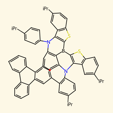 CC(C)c1ccc(N2c3cccc4c3B(c3sc5ccc(C(C)C)cc5c32)c2sc3ccc(C(C)C)cc3c2N4c2ccc(C(C)C)cc2-c2ccc3c4ccccc4c4ccccc4c3c2)cc1